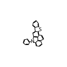 c1ccc(-n2c3cccc4ccc5c6sc7ccccc7c6cc2c5c43)cc1